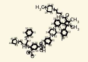 Cc1c(C(=O)NCCCN2CCN(C)CC2)c(-c2cccc(N3CCN(c4ccc(NS(=O)(=O)c5ccc(N[C@H](CCN6CCCC6)CSc6ccccc6)c([N+](=O)[O-])c5)cc4)CC3)c2)c(-c2ccc(F)cc2)n1C